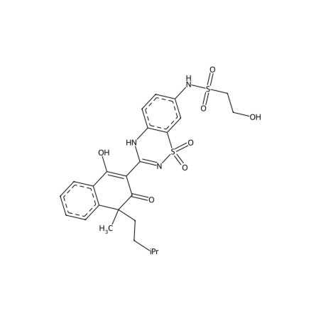 CC(C)CCC1(C)C(=O)C(C2=NS(=O)(=O)c3cc(NS(=O)(=O)CCO)ccc3N2)=C(O)c2ccccc21